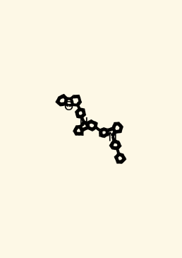 C1=CC2c3ccccc3OC2C(c2ccc(-n3c4ccccc4c4cc(-c5ccc6c(c5)c5ccccc5n6-c5ccc(-c6ccccc6)cc5)ccc43)cc2)=C1